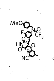 COc1ccc(CN(C(=O)C(F)(F)F)c2cc(F)cc(Cn3c(C(=O)c4cc(C)cc(C#N)c4)c(C(C)C)c(=O)[nH]c3=O)c2)cc1